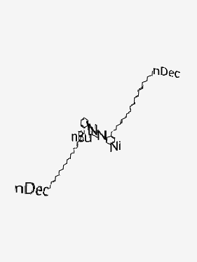 CCCCCCCCCCCCCCCCCCCCCCCCC=CCCCc1ccccc1N=CC(CCCC)=Nc1ccccc1CCCC=CCCCCCCCCCCCCCCCCCCCCCCCC.[Ni]